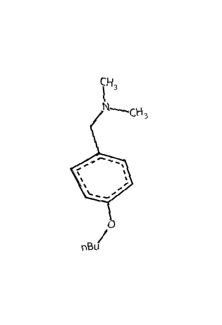 CCCCOc1ccc(CN(C)C)cc1